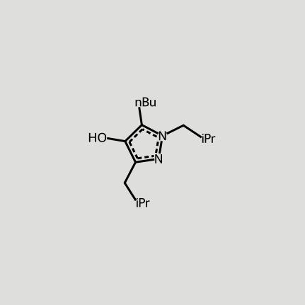 CCCCc1c(O)c(CC(C)C)nn1CC(C)C